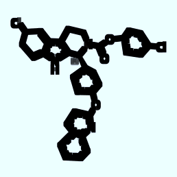 O=C(Oc1ccc(Cl)cc1)N1CCc2c([nH]c3c2=CC(Cl)CC=3)[C@@H]1c1ccc(Oc2ccc3ccccc3n2)cc1